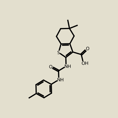 Cc1ccc(NC(=O)Nc2sc3c(c2C(=O)O)CC(C)(C)CC3)cc1